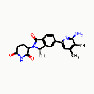 Cc1cc(-c2ccc3c(c2)C(C)N(C2CCC(=O)NC2=O)C3=O)nc(N)c1C#N